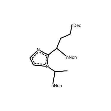 CCCCCCCCCCCCC(CCCCCCCCC)c1nccn1C(C)CCCCCCCCC